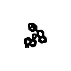 c1ccc2c(c1)CC[C@H](N1CCOCC1)[C@H]2Oc1cccc2ncccc12